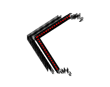 O.O.O.O.O.O.O.O.O.O.O.O.O.O.O.O.O.O.O.O.O.O.O.O.O.O.O.O.O.O.O.O.O.O.O.O.O.O.O.O.O.O.O.O.O.O.O.O.O.O.O.O.O.O.O.O.O.O.O.O.[CaH2].[CaH2].[CaH2].[CaH2].[CaH2]